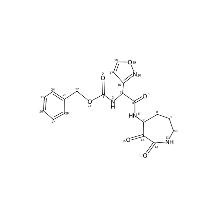 O=C(NC(C(=O)NC1CCCNC(=O)C1=O)c1ccon1)OCc1ccccc1